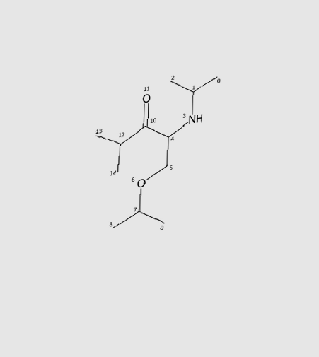 CC(C)NC(COC(C)C)C(=O)C(C)C